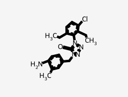 CCc1ccc(Cl)c(CC)c1-n1nnn(Cc2ccc(N)c(C)c2)c1=O